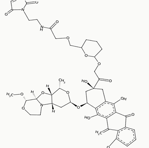 C=C1c2c(OC)cccc2C(=O)c2c(O)c3c(c(O)c21)[C@@H](O[C@H]1C[C@H]2[C@H](O[C@@H]4[C@@H](OC)OCCN42)[C@H](C)O1)C[C@](O)(C(=O)COC1CCCC(COCC(=O)NCCN2C(=O)C=CC2=O)O1)C3